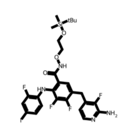 CC(C)(C)[Si](C)(C)OCCONC(=O)c1cc(Cc2ccnc(N)c2F)c(F)c(F)c1Nc1ccc(I)cc1F